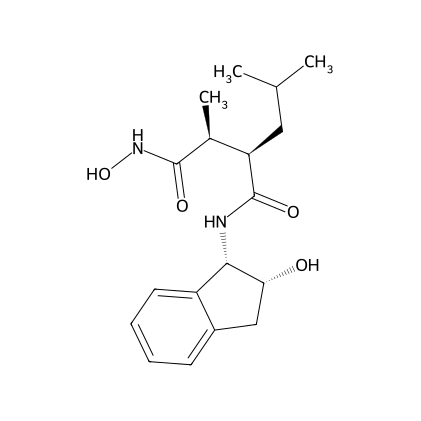 CC(C)C[C@@H](C(=O)N[C@H]1c2ccccc2C[C@H]1O)[C@H](C)C(=O)NO